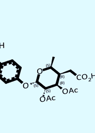 CC(=O)O[C@@H]1[C@H](Oc2ccc(CO)cc2)O[C@@H](C)[C@@H](CC(=O)O)[C@H]1OC(C)=O